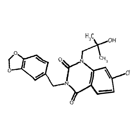 CC(C)(O)Cn1c(=O)n(Cc2ccc3c(c2)OCO3)c(=O)c2ccc(Cl)cc21